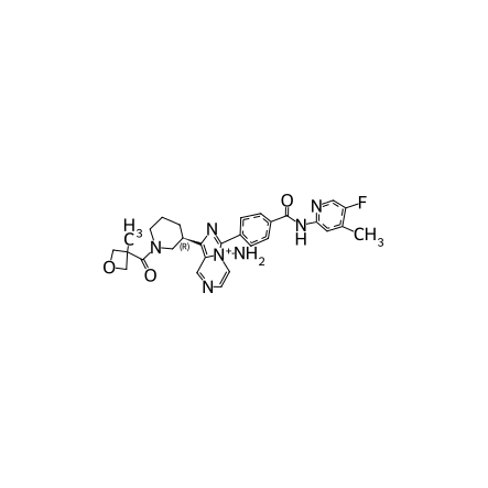 Cc1cc(NC(=O)c2ccc(C3=NC([C@@H]4CCCN(C(=O)C5(C)COC5)C4)=C4C=NC=C[N+]34N)cc2)ncc1F